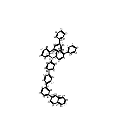 c1ccc(-c2ccc(N(c3ccc(-c4ccc(-c5cccc(-c6ccc7ccccc7c6)c5)cc4)cc3)c3ccccc3-c3cccc(-c4ccccc4)c3)cc2)cc1